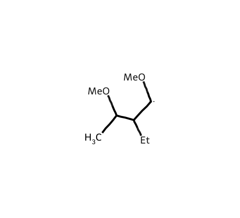 CCC([CH]OC)C(C)OC